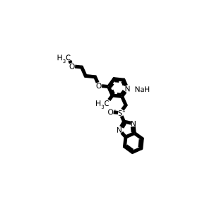 COCCCOc1ccnc(C[S+]([O-])C2=NC3C=CC=CC3=N2)c1C.[NaH]